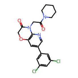 O=C(CN1C(=O)COc2cc(-c3cc(Cl)cc(Cl)c3)cnc21)N1CCCCC1